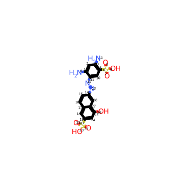 Nc1cc(N)c(S(=O)(=O)O)cc1/N=N/c1ccc2cc(S(=O)(=O)O)cc(O)c2c1